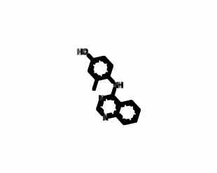 Cc1cc(O)ccc1Nc1ncnc2ccccc12